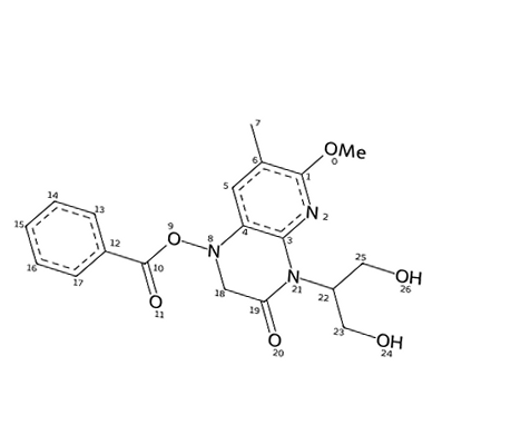 COc1nc2c(cc1C)N(OC(=O)c1ccccc1)CC(=O)N2C(CO)CO